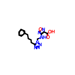 O=C(O)c1nonc1NCn1nnnc1CCCCc1ccccc1